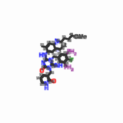 C/C=C1/C=C(Nc2nc(=O)n(Cc3ccc[nH]c3=O)c(=N)n2Cc2cc(P)c(F)c(P)c2)C(C)=C/C1=N/C(CC)CCCOC